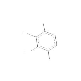 [CH2]c1ccc(C)c(C)c1CC